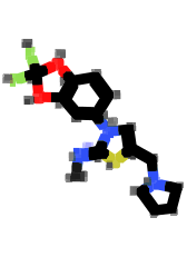 CC(=O)/N=c1\sc(CN2CCCC2)cn1-c1ccc2c(c1)OC(F)(F)O2